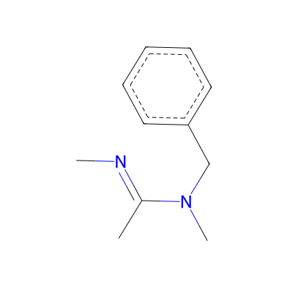 CN=C(C)N(C)Cc1ccccc1